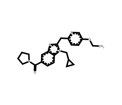 CCOc1ccc(Cc2nc3cc(C(=O)N4CCCC4)ccc3n2CC2CC2)nc1